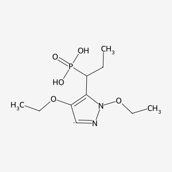 CCOc1[c]nn(OCC)c1C(CC)P(=O)(O)O